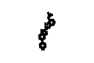 CN(C)Cc1cccc(CNc2nc3ccc(-c4ccncc4)cc3s2)c1